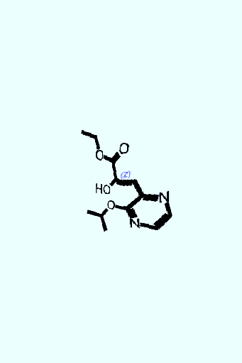 CCOC(=O)/C(O)=C/c1nccnc1OC(C)C